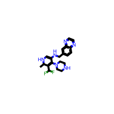 CC1NC=C(NCc2ccc3nccnc3c2)C(N2CCNCC2)=C1C(F)F